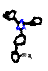 Cc1ccccc1-c1ccc(-c2nc(-c3ccccc3)nc(-c3ccccc3)n2)cc1